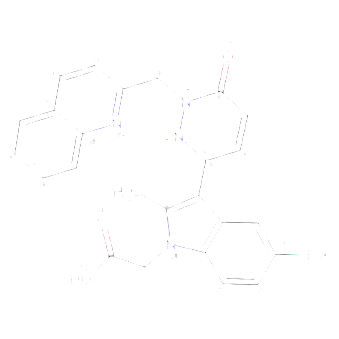 Cc1c(-c2ccc(=O)n(Cc3ccc4ccccc4n3)n2)c2cc(F)ccc2n1CC(=O)O